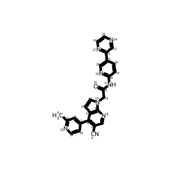 Cc1cc(-c2c(C#N)cnc3c2ccn3CC(=O)Nc2ccc(-c3cnccn3)cn2)ccn1